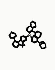 CC1(C)c2cc(N(c3ccc(C4CC5CCC4C5)cc3)c3ccc4ccccc4c3-c3ccccc3)ccc2-c2c(-c3ccccc3)cccc21